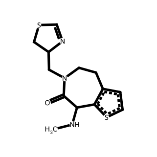 CNC1C(=O)N(CC2CSC=N2)CCc2ccsc21